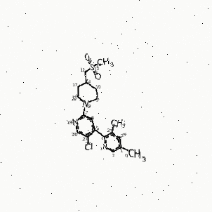 Cc1cnc(-c2cc(N3CCC(CS(C)(=O)=O)CC3)ncc2Cl)c(C)c1